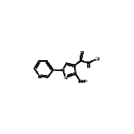 CCNC(=O)c1cn(-c2cccnc2)nc1NC